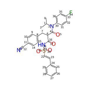 CC(C)N(C(=O)C(Cc1ccc(C#N)cc1)C(=O)NS(=O)(=O)C=Cc1ccccc1)c1ccc(F)cc1